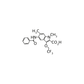 Cc1cc2c(cc1NC(=O)c1ccccc1)c(OCC(F)(F)F)c(C(=O)O)n2C